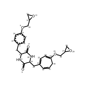 O=C1NC(Cc2ccc(OCC3CO3)cc2)C(=O)NC1CC1=CC=C(OCC2CO2)CC=C1